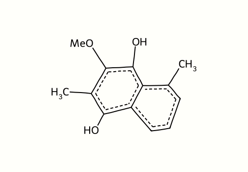 COc1c(C)c(O)c2cccc(C)c2c1O